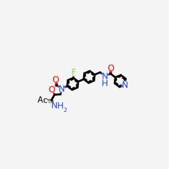 CC(=O)[C@@H](N)C1CN(c2ccc(-c3ccc(CNC(=O)c4ccncc4)cc3)c(F)c2)C(=O)O1